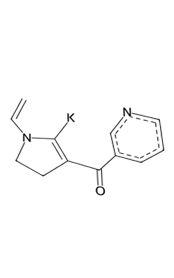 C=CN1CCC(C(=O)c2cccnc2)=[C]1[K]